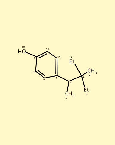 CCC(C)(CC)C(C)c1ccc(O)cc1